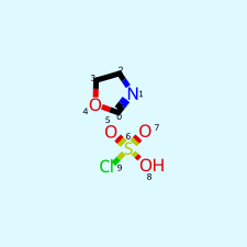 C1=NCCO1.O=S(=O)(O)Cl